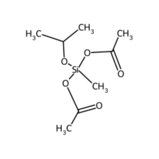 CC(=O)O[Si](C)(OC(C)=O)OC(C)C